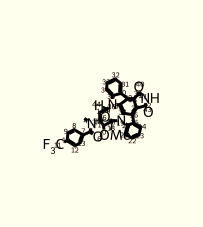 COC1[C@H](N(C)C(=O)c2ccc(C(F)(F)F)cc2)C[C@H]2O[C@]1(C)n1c3ccccc3c3c4c(c5c6ccccc6n2c5c31)C(=O)NC4=O